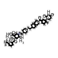 C[C@H]1C=C(NC(=O)c2cccc(C(F)(F)F)n2)C(C(C)(C)O)=C/C1=N/NC1CCN(CCC2CCC3(CC2)CCN(C(=O)c2ccc(F)c(N4CCC(=O)NC4=O)c2)CC3)CC1